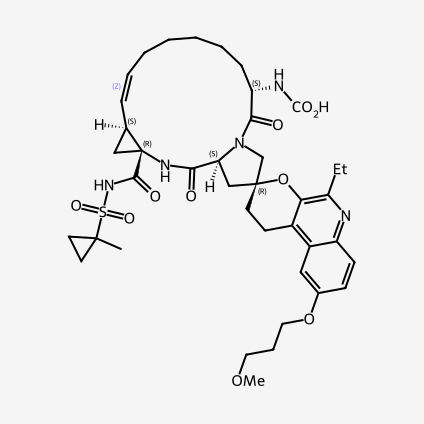 CCc1nc2ccc(OCCCOC)cc2c2c1O[C@]1(CC2)C[C@H]2C(=O)N[C@]3(C(=O)NS(=O)(=O)C4(C)CC4)C[C@H]3/C=C\CCCCC[C@H](NC(=O)O)C(=O)N2C1